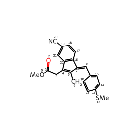 COC(=O)CC1=C(C)/C(=C\c2ccc(SC)cc2)c2ccc(C#N)cc21